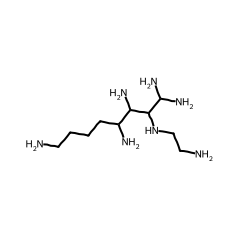 NCCCCC(N)C(N)C(NCCN)C(N)N